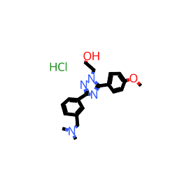 COc1ccc(-c2nc(-c3cccc(CN(C)C)c3)nn2CCO)cc1.Cl